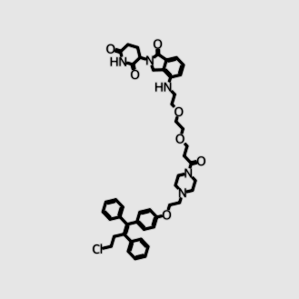 O=C1CCC(N2Cc3c(NCCOCCOCCC(=O)N4CCN(CCOc5ccc(C(=C(CCCl)c6ccccc6)c6ccccc6)cc5)CC4)cccc3C2=O)C(=O)N1